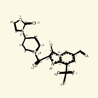 O=Cc1cc(C(F)(F)F)c2nc(C(=O)N3CCC(N4CCOC4=O)CC3)c(Cl)n2c1